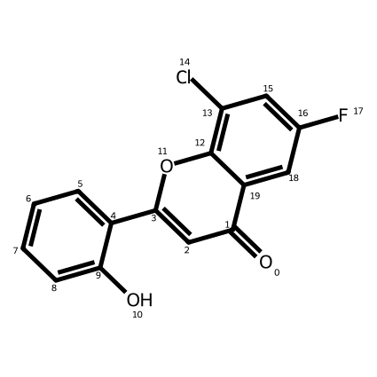 O=c1cc(-c2ccccc2O)oc2c(Cl)cc(F)cc12